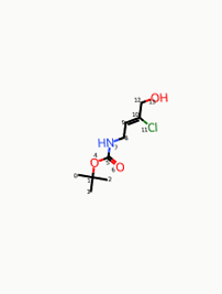 CC(C)(C)OC(=O)NC/C=C(\Cl)CO